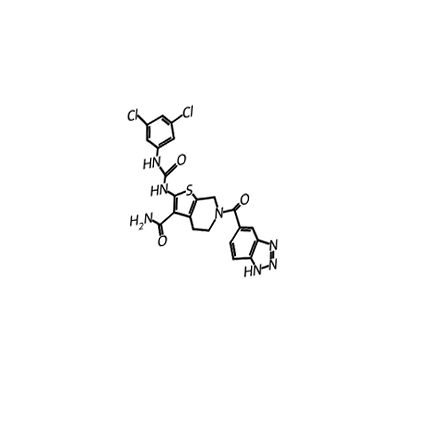 NC(=O)c1c(NC(=O)Nc2cc(Cl)cc(Cl)c2)sc2c1CCN(C(=O)c1ccc3[nH]nnc3c1)C2